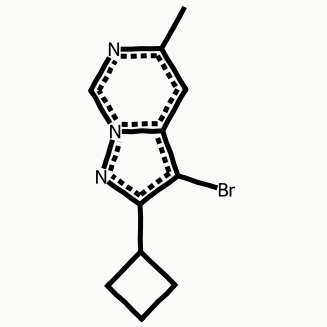 Cc1cc2c(Br)c(C3CCC3)nn2cn1